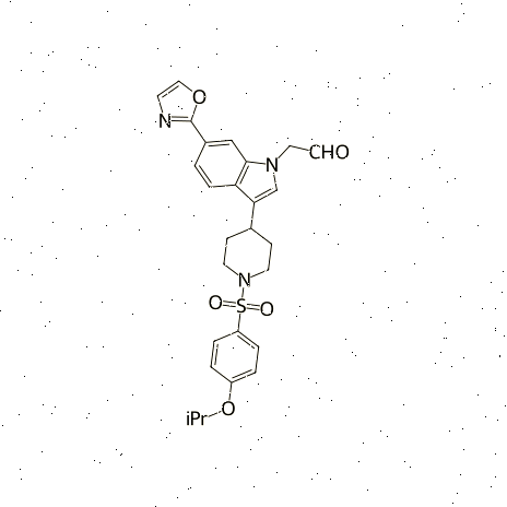 CC(C)Oc1ccc(S(=O)(=O)N2CCC(c3cn(CC=O)c4cc(-c5ncco5)ccc34)CC2)cc1